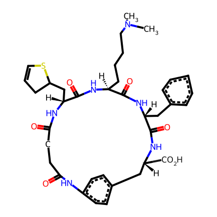 CN(C)CCCC[C@@H]1NC(=O)[C@@H](CC2CC=CS2)NC(=O)CCC(=O)Nc2ccc(cc2)C[C@@H](C(=O)O)NC(=O)[C@@H](Cc2ccccc2)NC1=O